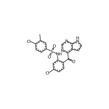 Cc1cc(S(=O)(=O)Nc2cc(Cl)ccc2C(=O)c2ncnc3[nH]ccc23)ccc1Cl